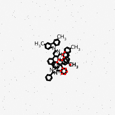 Cc1ccc2c(c1)c1cc(C)ccc1n2-c1cc(-c2cccc(-c3nc(-c4ccccc4)nc(-c4ccccc4)n3)c2-c2nc(-c3ccccc3)nc(-c3ccccc3)n2)c(-n2c3ccc(C)cc3c3cc(C)ccc32)c(-n2c3ccc(C)cc3c3cc(C)ccc32)n1